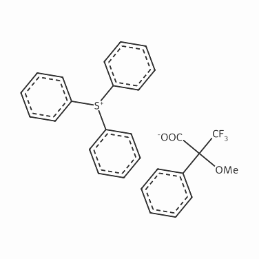 COC(C(=O)[O-])(c1ccccc1)C(F)(F)F.c1ccc([S+](c2ccccc2)c2ccccc2)cc1